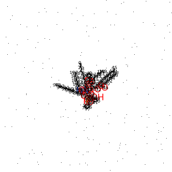 CCCCCCCCCCC[C@H](CC(=O)N[C@H]1[C@H](OC[C@H](CCOCc2ccccc2)C(=O)C[C@@H](CCCCCCCCCCC)OC(=O)CCCCCCCCC)O[C@H](CO)[C@@H](OP(=O)(Oc2ccccc2)Oc2ccccc2)[C@@H]1OC(=O)C[C@@H](CCCCCCCCCCC)C(=O)CCCCCCCCC)OC(=O)CCCCCCCCC